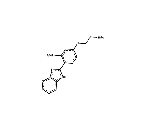 COc1cc(OCCSC)ccc1-c1nc2ncccc2[nH]1